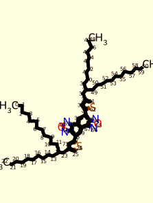 CCCCCCCCCCCCC(CCCCCCCCCC)Cc1csc(-c2cc3c(cc(-c4cc(CC(CCCCCCCCCC)CCCCCCCCCCCC)cs4)c4nonc43)c3nonc23)c1